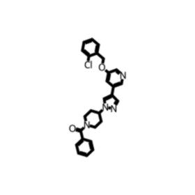 O=C(c1ccccc1)N1CCC(n2cc(-c3cncc(OCc4ccccc4Cl)c3)cn2)CC1